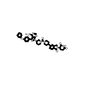 Nc1ncnc2c1c(-c1ccc(Oc3ccccc3)cc1)nn2C1CCCN(C(=O)N2CCC(c3ccc4c(c3)CN(C3CCC(=O)NC3=O)C4=O)CC2)C1